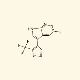 Fc1cc2c(-c3ccsc3C(F)(F)F)c[nH]c2nn1